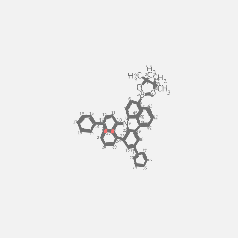 CC1(C)OB(c2ccc(N(c3ccc(-c4ccccc4)cc3)c3c(-c4ccccc4)cc(-c4ccccc4)cc3-c3ccccc3)cc2)OC1(C)C